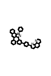 c1ccc(-c2cc3ccccc3c3c2c(-c2cccc(-c4ccc(-c5ccc6ccc7cccnc7c6n5)cc4)c2)nn3-c2ccccc2)cc1